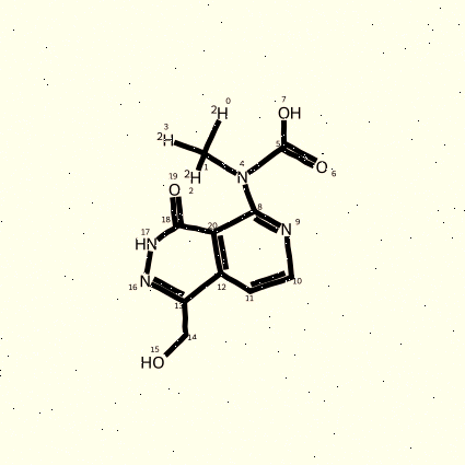 [2H]C([2H])([2H])N(C(=O)O)c1nccc2c(CO)n[nH]c(=O)c12